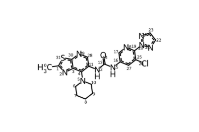 Cc1nc2c(N3CCCCC3)c(NC(=O)Nc3cnc(-n4nccn4)c(Cl)c3)cnc2s1